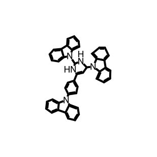 C1=C(c2ccc(-n3c4ccccc4c4ccccc43)cc2)NC(n2c3ccccc3c3ccccc32)NC1n1c2ccccc2c2ccccc21